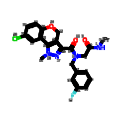 CC(C)NC(=O)CN(Cc1cccc(F)c1)C(=O)c1nn(C)c2c1COc1ccc(Cl)cc1-2